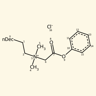 CCCCCCCCCCCC[N+](C)(C)CC(=O)Oc1ccccc1.[Cl-]